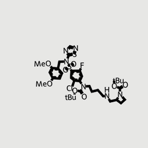 COc1ccc(CN(c2ncns2)S(=O)(=O)c2cc(Cl)c(N(CCCCNCC3CCN3C(=O)OC(C)(C)C)C(=O)OC(C)(C)C)cc2F)c(OC)c1